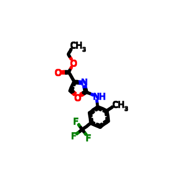 CCOC(=O)c1coc(Nc2cc(C(F)(F)F)ccc2C)n1